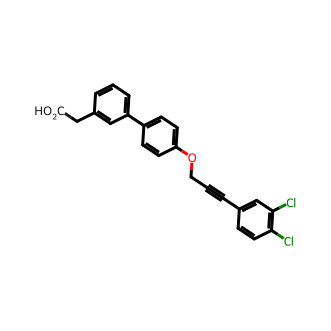 O=C(O)Cc1cccc(-c2ccc(OCC#Cc3ccc(Cl)c(Cl)c3)cc2)c1